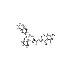 Cc1cc(Cl)nc(C)c1C(=O)NCCC(C)N1CCC(N(Cc2cccnc2)c2cnc3ccccc3c2)CC1